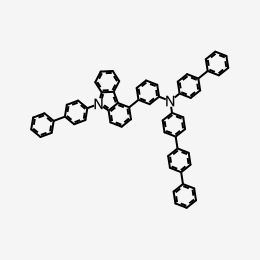 c1ccc(-c2ccc(-c3ccc(N(c4ccc(-c5ccccc5)cc4)c4cccc(-c5cccc6c5c5ccccc5n6-c5ccc(-c6ccccc6)cc5)c4)cc3)cc2)cc1